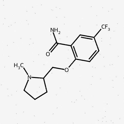 CN1CCCC1COc1ccc(C(F)(F)F)cc1C(N)=O